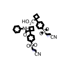 N#C/C=C/S(=O)(=O)c1ccc(C2(C(=O)Nc3ccccc3)CCC2)cc1.N#C/C=C/S(=O)(=O)c1ccc(C2(C(=O)O)CCC2)cc1